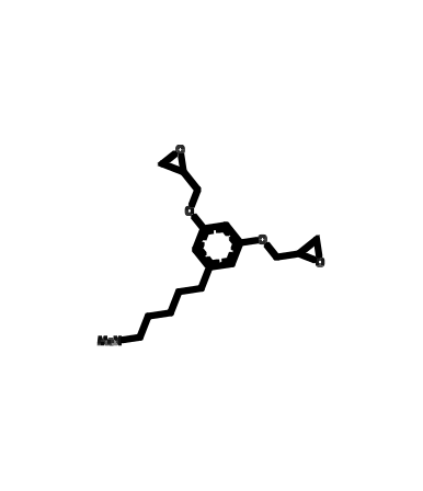 CNCCCCCc1cc(OCC2CO2)cc(OCC2CO2)c1